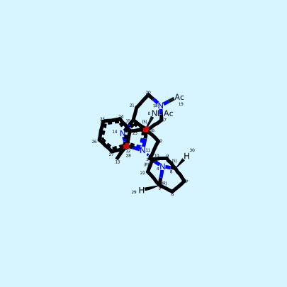 CC(=O)N[C@@H](CCN1[C@@H]2CC[C@H]1C[C@@H](n1c(C)nc3c1CN(C(C)=O)CC3)C2)c1ccccc1